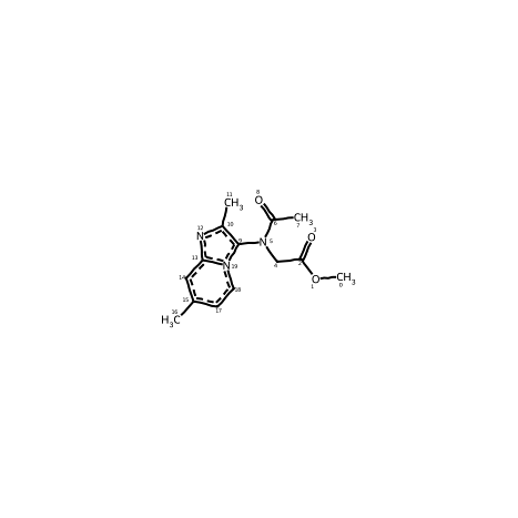 COC(=O)CN(C(C)=O)c1c(C)nc2cc(C)ccn12